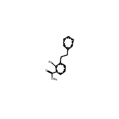 CCc1c(CCc2ccccc2)cccc1C(=O)OC